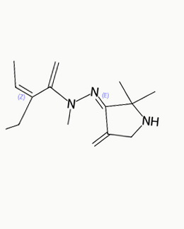 C=C1CNC(C)(C)/C1=N/N(C)C(=C)/C(=C\C)CC